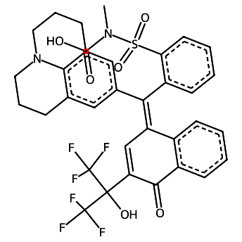 CN(C(=O)O)S(=O)(=O)c1ccccc1C(=C1C=C(C(O)(C(F)(F)F)C(F)(F)F)C(=O)c2ccccc21)c1cc2c3c(c1)CCCN3CCC2